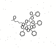 CC(=O)CCCCOC1OC(COC(=O)c2ccccc2)C(OC(=O)c2ccccc2)C(OC(=O)c2ccccc2)C1OC(=O)c1ccccc1